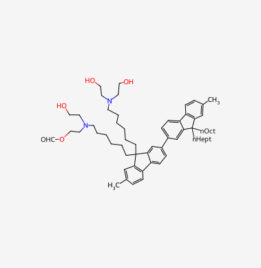 CCCCCCCCC1(CCCCCCC)c2cc(C)ccc2-c2ccc(-c3ccc4c(c3)C(CCCCCCN(CCO)CCO)(CCCCCCN(CCO)CCOC=O)c3cc(C)ccc3-4)cc21